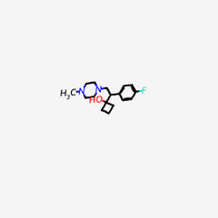 CN1CCN(CC(c2ccc(F)cc2)C2(O)CCC2)CC1